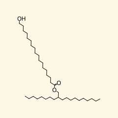 CCCCCCCCCCC(CCCCCCCC)COC(=O)CCCCCCCCCCCCCCCCCO